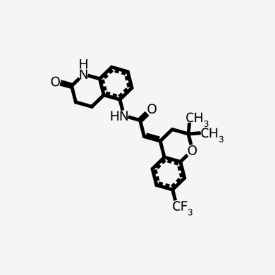 CC1(C)C/C(=C\C(=O)Nc2cccc3c2CCC(=O)N3)c2ccc(C(F)(F)F)cc2O1